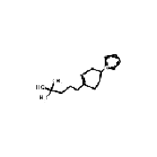 CC(C)(O)CCCC1=CCC(n2cccc2)CC1